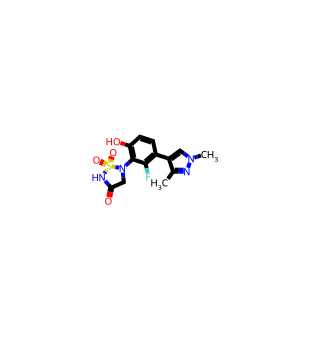 Cc1nn(C)cc1-c1ccc(O)c(N2CC(=O)NS2(=O)=O)c1F